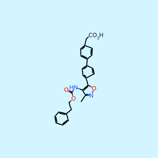 Cc1noc(-c2ccc(-c3ccc(CC(=O)O)cc3)cc2)c1NC(=O)OCCc1ccccc1